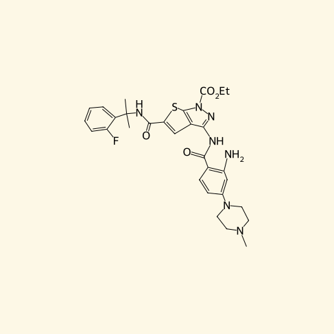 CCOC(=O)n1nc(NC(=O)c2ccc(N3CCN(C)CC3)cc2N)c2cc(C(=O)NC(C)(C)c3ccccc3F)sc21